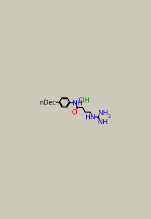 CCCCCCCCCCc1ccc(NC(=O)CCCNC(=N)N)cc1.Cl